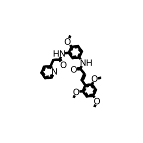 COc1cc(OC)c(C=CC(=O)Nc2ccc(OC)c(NC(=O)Cc3ccccn3)c2)c(OC)c1